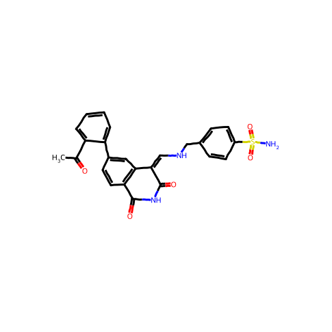 CC(=O)c1ccccc1-c1ccc2c(c1)C(=CNCc1ccc(S(N)(=O)=O)cc1)C(=O)NC2=O